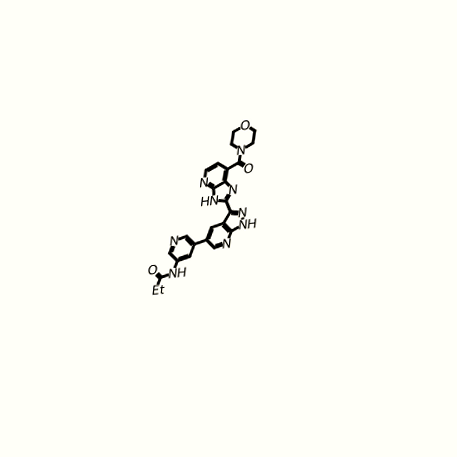 CCC(=O)Nc1cncc(-c2cnc3[nH]nc(-c4nc5c(C(=O)N6CCOCC6)ccnc5[nH]4)c3c2)c1